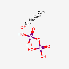 O=P(O)(O)OP(=O)(O)O.[Ca+2].[Ca+2].[Na+].[Na+].[O-2]